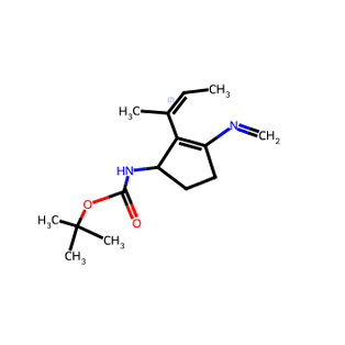 C=NC1=C(/C(C)=C\C)C(NC(=O)OC(C)(C)C)CC1